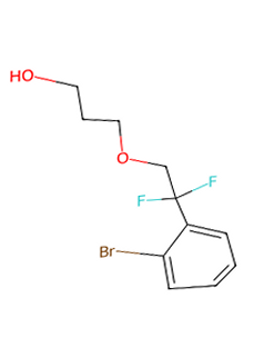 OCCCOCC(F)(F)c1ccccc1Br